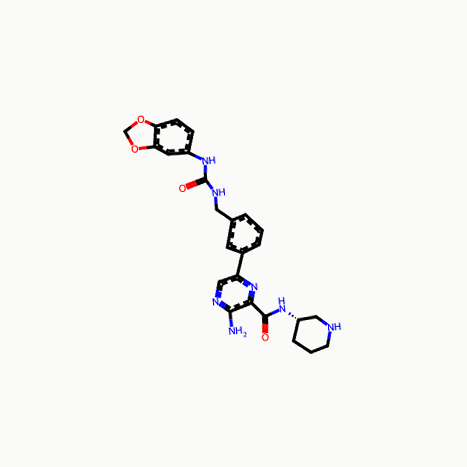 Nc1ncc(-c2cccc(CNC(=O)Nc3ccc4c(c3)OCO4)c2)nc1C(=O)N[C@H]1CCCNC1